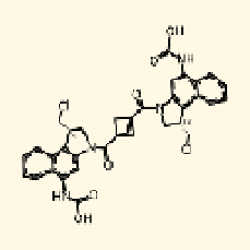 O=C(O)Nc1cc2c(c3ccccc13)[C@H](CCl)CN2C(=O)C12CC(C(=O)N3C[C@@H](CCl)c4c3cc(NC(=O)O)c3ccccc43)(C1)C2